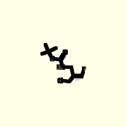 CC(C)(C)OC(=O)NC/C(=C\F)CCl